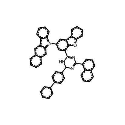 c1ccc(-c2ccc(C3N=C(c4cccc5ccccc45)N=C(c4cc(-n5c6ccccc6c6cc7ccccc7cc65)cc5c4oc4ccccc45)N3)cc2)cc1